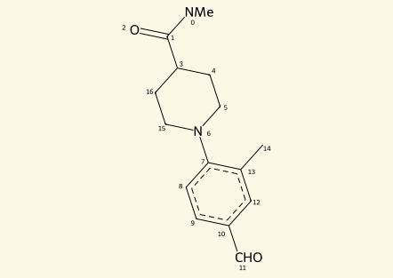 CNC(=O)C1CCN(c2ccc(C=O)cc2C)CC1